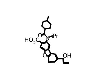 C=CC(O)c1ccc2oc3cc(C(=O)O)c(N(C(=O)C4CCC(C)CC4)C(C)C)cc3c2c1